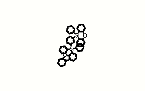 c1ccc([Si]2(c3cccc([Si](c4ccccc4)(c4ccccc4)c4cccc5c4oc4ccccc45)c3)c3ccccc3Oc3ccccc32)cc1